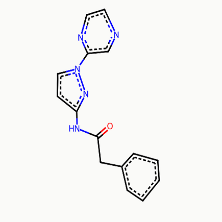 O=C(Cc1ccccc1)Nc1ccn(-c2cnccn2)n1